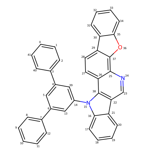 c1ccc(-c2cc(-c3ccccc3)cc(-n3c4ccccc4c4cnc5c(ccc6c7ccccc7oc65)c43)c2)cc1